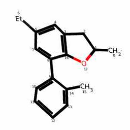 [CH2]C1Cc2cc(CC)cc(-c3ccccc3C)c2O1